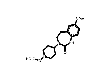 COc1ccc2c(c1)CCN(C1CCN(OC(=O)O)CC1)C(=O)N2